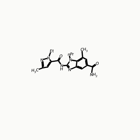 CCCn1c(NC(=O)c2cc(C)nn2CC)nc2cc(C(N)=O)cc(C)c21